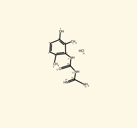 Cc1ccc(O)c(C)c1NC(=O)NC(=N)N.Cl